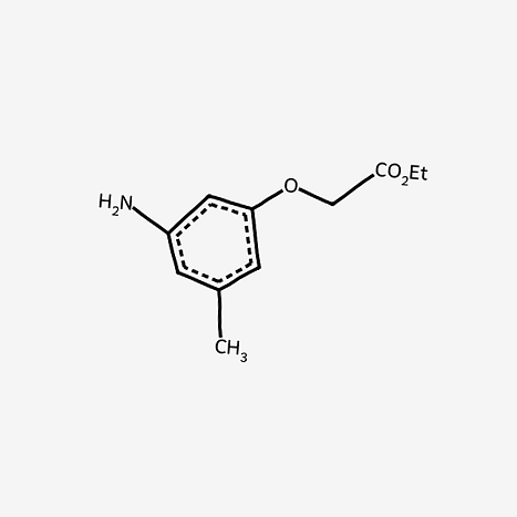 CCOC(=O)COc1cc(C)cc(N)c1